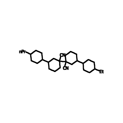 CCCC1CCC(C2CCCC(C#N)(C3(C#N)CCCC(C4CCC(CC)CC4)C3)C2)CC1